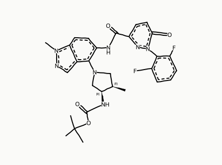 C[C@@H]1CN(c2c(NC(=O)c3ccc(=O)n(-c4c(F)cccc4F)n3)ccc3c2cnn3C)C[C@@H]1NC(=O)OC(C)(C)C